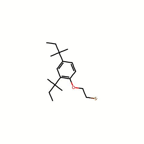 CCC(C)(C)c1ccc(OCC[S])c(C(C)(C)CC)c1